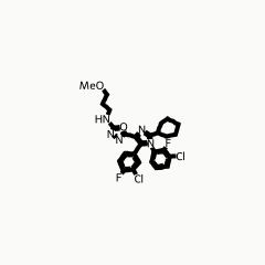 COCCCNc1nnc(-c2nc(C3CCCCC3)n(-c3cccc(Cl)c3F)c2-c2ccc(F)c(Cl)c2)o1